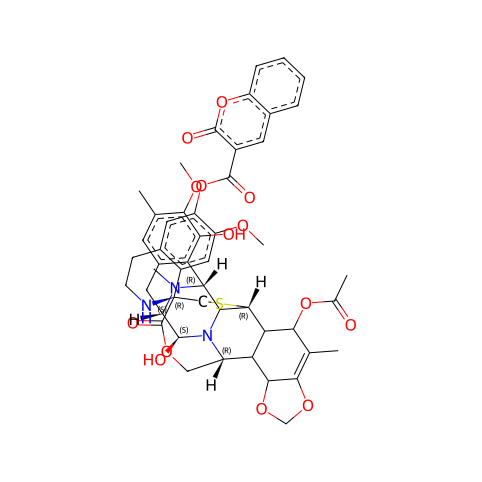 COc1cc2c(cc1OC(=O)c1cc3ccccc3oc1=O)CCN[C@]21CS[C@@H]2C3C(OC(C)=O)C(C)=C4OCOC4C3[C@H](COC1=O)N1C2[C@H]2c3c(cc(C)c(OC)c3O)C[C@@H]([C@@H]1O)N2C